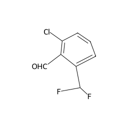 O=Cc1c(Cl)cccc1C(F)F